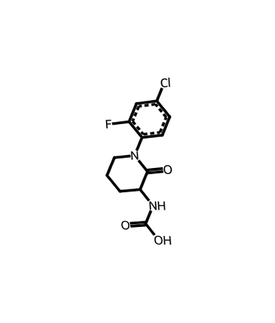 O=C(O)NC1CCCN(c2ccc(Cl)cc2F)C1=O